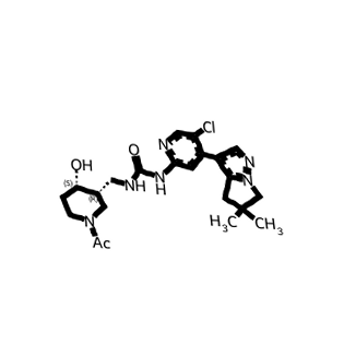 CC(=O)N1CC[C@H](O)[C@H](CNC(=O)Nc2cc(-c3cnn4c3CC(C)(C)C4)c(Cl)cn2)C1